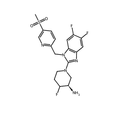 CS(=O)(=O)c1ccc(Cn2c(N3CCC(F)[C@H](N)C3)nc3cc(F)c(F)cc32)nc1